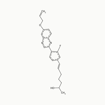 C=CCOc1ccc2nc(-c3ccc(C=CCCCC(C)O)cc3F)cnc2c1